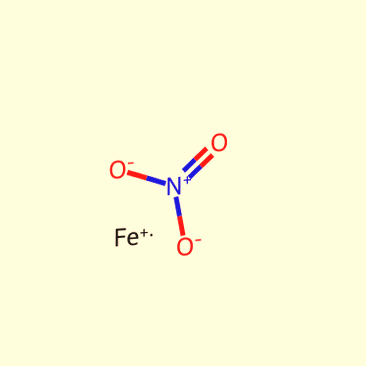 O=[N+]([O-])[O-].[Fe+]